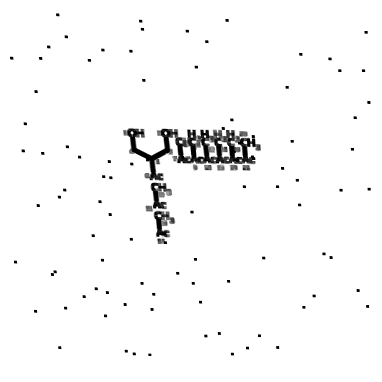 CC(=O)C(CO)CO.CC(C)=O.CC(C)=O.CC(C)=O.CC(C)=O.CC(C)=O.CC(C)=O.CC(C)=O.CC(C)=O